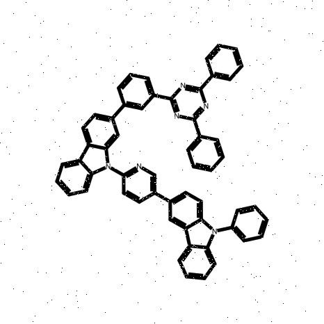 c1ccc(-c2nc(-c3ccccc3)nc(-c3cccc(-c4ccc5c6ccccc6n(-c6ccc(-c7ccc8c(c7)c7ccccc7n8-c7ccccc7)cn6)c5c4)c3)n2)cc1